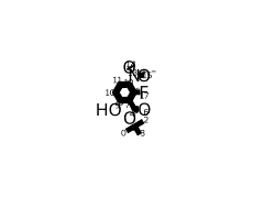 CC(C)(C)OC(=O)c1c(O)ccc([N+](=O)[O-])c1F